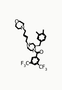 Cc1ccc(C[C@@H]2CN(C/C=C/CN3CCOCC3)CCN2C(=O)c2cc(C(F)(F)F)cc(C(F)(F)F)c2)cc1C